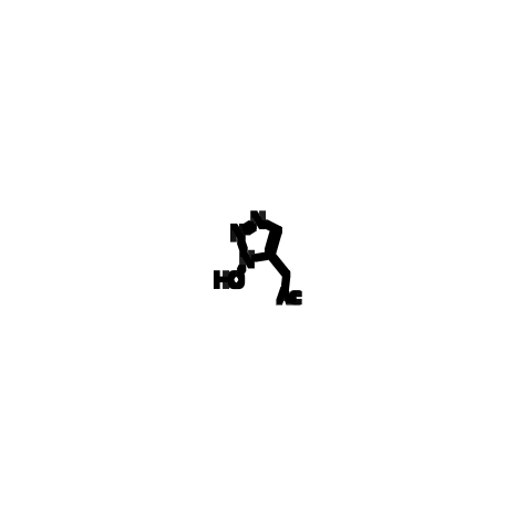 CC(=O)Cc1cnnn1O